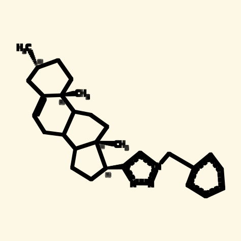 C[C@@H]1CC[C@@]2(C)C(=CCC3C2CC[C@@]2(C)C3CC[C@@H]2c2cn(Cc3ccccc3)nn2)C1